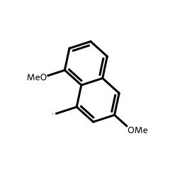 [CH2]c1cc(OC)cc2cccc(OC)c12